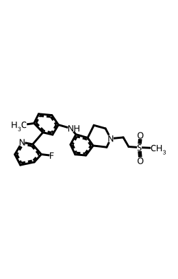 Cc1ccc(Nc2cccc3c2CCN(CCS(C)(=O)=O)C3)cc1-c1ncccc1F